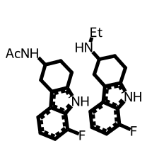 CC(=O)NC1CCc2[nH]c3c(F)cccc3c2C1.CCNC1CCc2[nH]c3c(F)cccc3c2C1